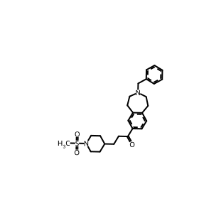 CS(=O)(=O)N1CCC(CCC(=O)c2ccc3c(c2)CCN(Cc2ccccc2)CC3)CC1